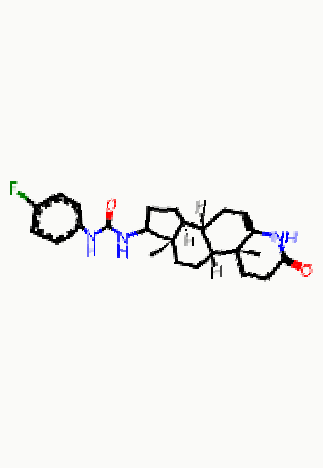 C[C@]12CCC(=O)NC1=CC[C@@H]1[C@H]2CC[C@]2(C)C(NC(=O)Nc3ccc(F)cc3)CC[C@@H]12